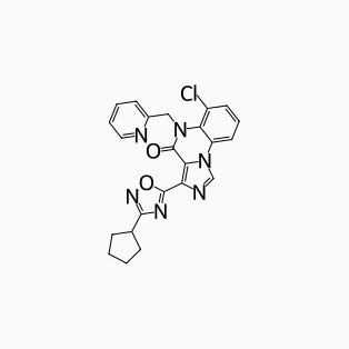 O=c1c2c(-c3nc(C4CCCC4)no3)ncn2c2cccc(Cl)c2n1Cc1ccccn1